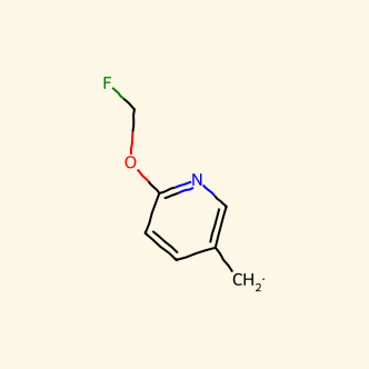 [CH2]c1ccc(OCF)nc1